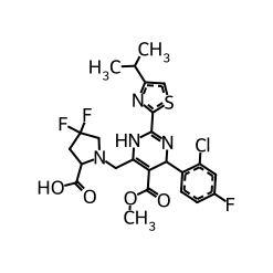 COC(=O)C1=C(CN2CC(F)(F)CC2C(=O)O)NC(c2nc(C(C)C)cs2)=NC1c1ccc(F)cc1Cl